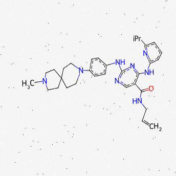 C=CCNC(=O)c1cnc(Nc2ccc(N3CCC4(CCN(C)CC4)CC3)cc2)nc1Nc1cccc(C(C)C)n1